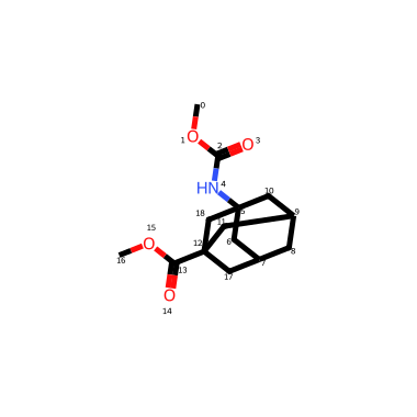 COC(=O)NC12CC3CC(C1)CC(C(=O)OC)(C3)C2